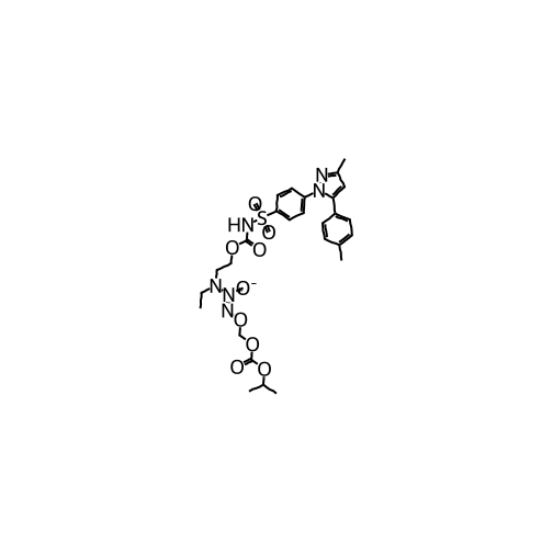 CCN(CCOC(=O)NS(=O)(=O)c1ccc(-n2nc(C)cc2-c2ccc(C)cc2)cc1)/[N+]([O-])=N/OCOC(=O)OC(C)C